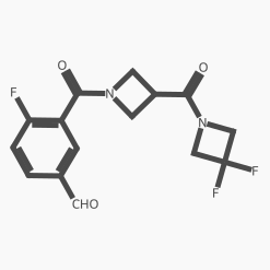 O=Cc1ccc(F)c(C(=O)N2CC(C(=O)N3CC(F)(F)C3)C2)c1